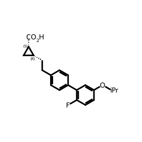 CC(C)Oc1ccc(F)c(-c2ccc(CC[C@@H]3C[C@@H]3C(=O)O)cc2)c1